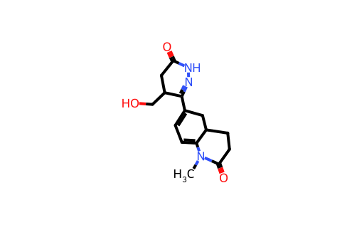 CN1C(=O)CCC2CC(C3=NNC(=O)CC3CO)=CC=C21